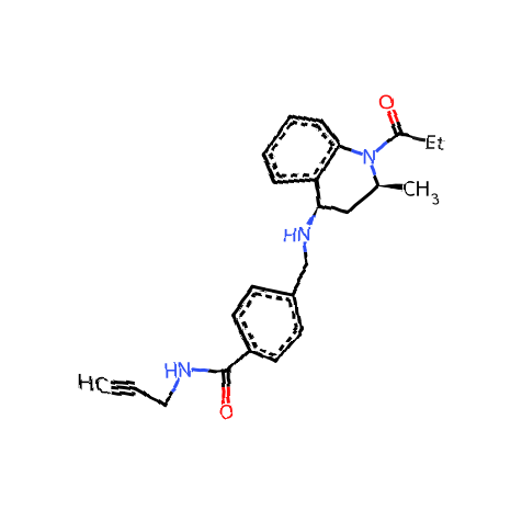 C#CCNC(=O)c1ccc(CN[C@@H]2C[C@H](C)N(C(=O)CC)c3ccccc32)cc1